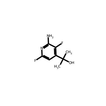 CC(C)(O)c1cc(F)nc(N)c1F